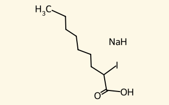 CCCCCCCC(I)C(=O)O.[NaH]